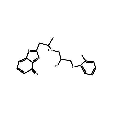 Cc1ccccc1OCC(O)CNC(C)CC1=NC2=CC=CC(=O)C2=N1